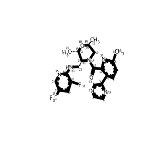 Cc1ccc(-c2cnccn2)c(C(=O)N2C[C@@H](C)O[C@@H](C)[C@H]2CNc2ncc(C(F)(F)F)cc2F)n1